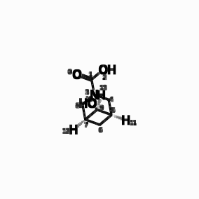 O=C(O)N1C[C@H]2C[C@@H](C1)[C@H]2O